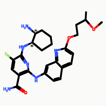 COC(C)CCOc1ccc2ccc(Nc3nc(N[C@@H]4CCCC[C@@H]4N)c(F)cc3C(N)=O)cc2n1